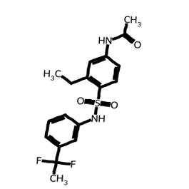 CCc1cc(NC(C)=O)ccc1S(=O)(=O)Nc1cccc(C(C)(F)F)c1